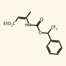 CCOC(=O)/C=C(/C)NC(=O)OC(c1ccccc1)C(F)(F)F